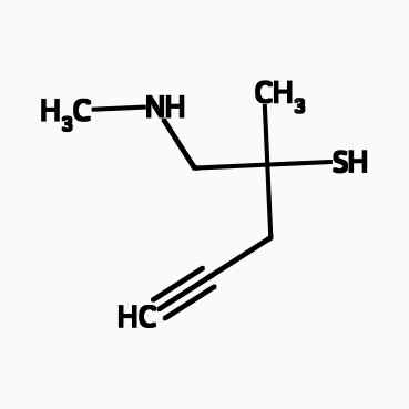 C#CCC(C)(S)CNC